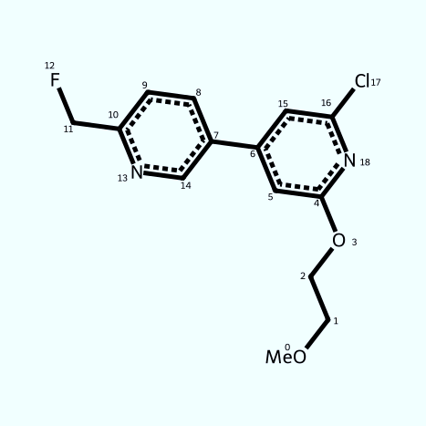 COCCOc1cc(-c2ccc(CF)nc2)cc(Cl)n1